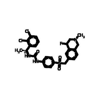 C[C@@H](NC(=O)Nc1ccc(S(=O)(=O)Cc2ccc3c(c2)C(F)CN(C)C3)cc1)c1cccc(Cl)c1Cl